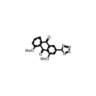 COc1cccc2c1C(=O)c1c(OC)cc(C3N=NN=N3)cc1C2=O